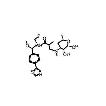 CO[C@H](c1ccc(-c2cncs2)cc1)[C@@H](CF)NC(=O)C(C)CN(C)[C@H]1C[C@@H](C)O[C@@H](O)[C@@H]1O